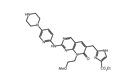 CCOC(=O)c1c[nH]c(Cc2cc3cnc(Nc4ccc(N5CCNCC5)cn4)nc3n(CCOC)c2=O)n1